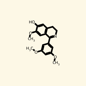 COc1cc(OC)cc(C2=NCCc3cc(O)c(OC)cc32)c1